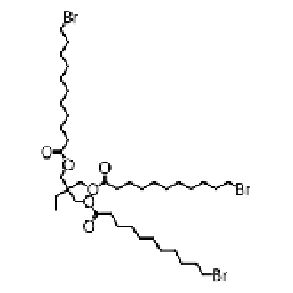 CCC(COC(=O)CCCCCCCCCCBr)(COC(=O)CCCCCCCCCCBr)COC(=O)CCCCCCCCCCBr